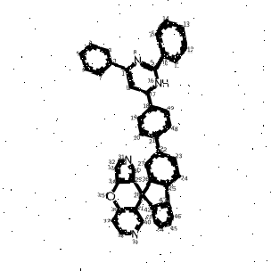 C1=C(c2ccccc2)N=C(c2ccccc2)NC1c1ccc(-c2ccc3c(c2)C2(c4cnccc4Oc4ccncc42)c2ccccc2-3)cc1